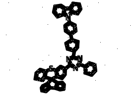 c1ccc(-c2nc(-c3ccc(-c4ccc(-n5c6ccccc6c6ccccc65)cc4)cc3)nc(-c3ccc4c(c3)Sc3ccccc3C43c4ccccc4-c4ccccc43)n2)cc1